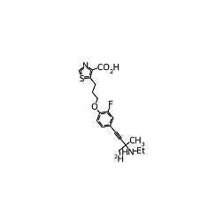 [2H]CC(C)(C#Cc1ccc(OCCCc2scnc2C(=O)O)c(F)c1)NCC